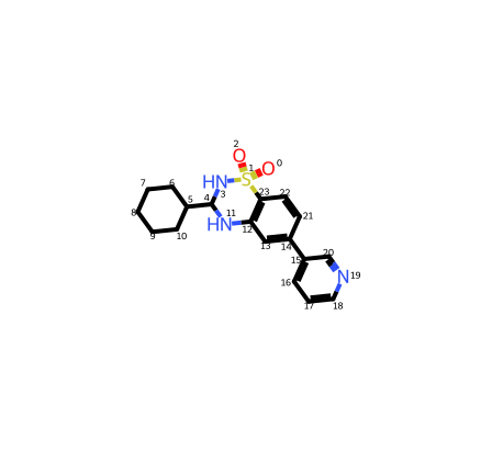 O=S1(=O)NC(C2CCCCC2)Nc2cc(-c3cccnc3)ccc21